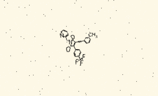 Cc1cccc(C#CC2=C(c3ccc(C(F)(F)F)cc3)C(=O)N(Cc3ccccn3)C2=O)c1